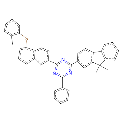 Cc1ccccc1Sc1cccc2cc(-c3nc(-c4ccccc4)nc(-c4ccc5c(c4)C(C)(C)c4ccccc4-5)n3)ccc12